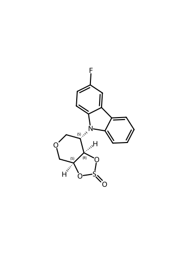 O=S1O[C@H]2[C@H](COC[C@@H]2n2c3ccccc3c3cc(F)ccc32)O1